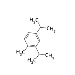 Cc1ccc(C(C)C)cc1C(C)C